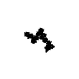 c1ccc2c(c1)-c1ccc(-c3ccc(-c4cccc5c(-n6c7ccccc7c7ccc(-c8ccc9c%10ccccc%10n(-c%10ccc%11c(c%10)sc%10ccccc%10%11)c9c8)cc76)cccc45)cc3)cc1C21C2CC3CC34CC1C4C2